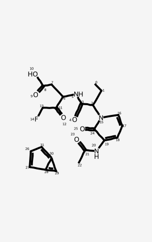 CCC(C(=O)NC(CC(=O)O)C(=O)CF)n1cccc(NC(C)=O)c1=O.c1cc2cc-2c1